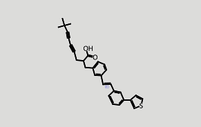 CC(C)(C)C#CC#CCC(Cc1cccc(/C=C/c2cccc(-c3ccsc3)c2)c1)C(=O)O